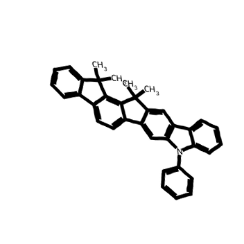 CC1(C)c2ccccc2-c2ccc3c(c21)C(C)(C)c1cc2c4ccccc4n(-c4ccccc4)c2cc1-3